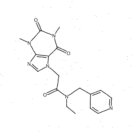 CCN(Cc1ccncc1)C(=O)Cn1cnc2c1c(=O)n(C)c(=O)n2C